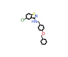 Clc1ccc2snc(NCc3ccc(OCc4ccccc4)cc3)c2c1